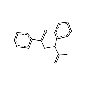 C=C(C)C(CC(=O)c1ccccc1)c1ccccc1